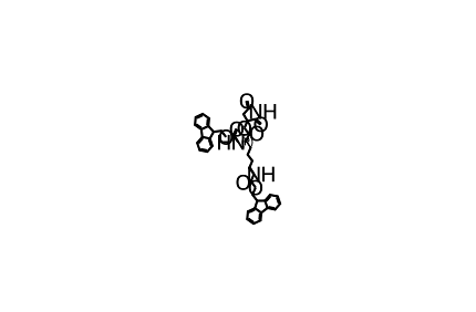 O=C1CC(OC(=O)[C@@H](CCCCNC(=O)OCC2c3ccccc3-c3ccccc32)NC(=O)OCC2c3ccccc3-c3ccccc32)C(=O)N1